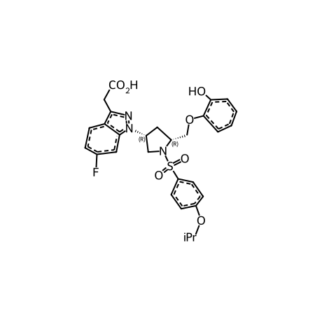 CC(C)Oc1ccc(S(=O)(=O)N2C[C@H](n3nc(CC(=O)O)c4ccc(F)cc43)C[C@@H]2COc2ccccc2O)cc1